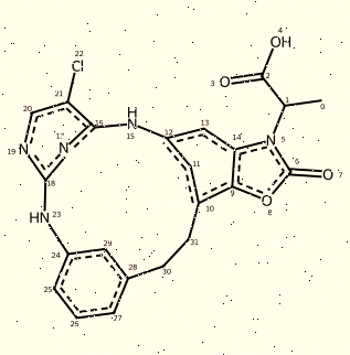 CC(C(=O)O)n1c(=O)oc2c3cc(cc21)Nc1nc(ncc1Cl)Nc1cccc(c1)CC3